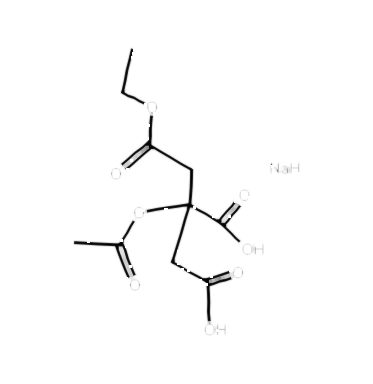 CCOC(=O)CC(CC(=O)O)(OC(C)=O)C(=O)O.[NaH]